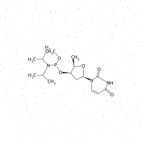 COP(O[C@@H]1C[C@H](n2ccc(=O)[nH]c2=O)O[C@@H]1C)N(C(C)C)C(C)C